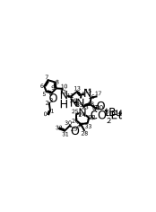 C=CCOc1ccccc1CNc1cc2nc(C)c([C@H](OC(C)(C)C)C(=O)OCC)c(N3CCC(C)(OCC=C)CC3)n2n1